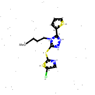 COCCCn1c(Sc2ncc(Cl)s2)nnc1-c1cccs1